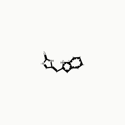 O=C1N=CC(=Cc2cc3ccccc3[nH]2)N1